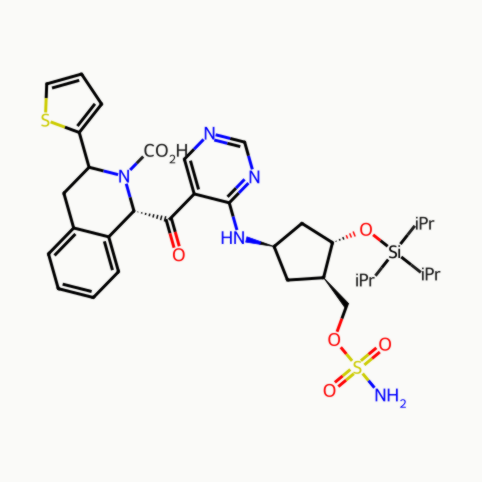 CC(C)[Si](O[C@H]1C[C@H](Nc2ncncc2C(=O)[C@@H]2c3ccccc3CC(c3cccs3)N2C(=O)O)C[C@@H]1COS(N)(=O)=O)(C(C)C)C(C)C